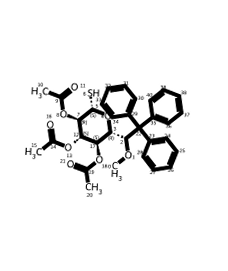 COC([C@H]1O[C@@H](S)[C@H](OC(C)=O)[C@@H](OC(C)=O)[C@@H]1OC(C)=O)C(c1ccccc1)(c1ccccc1)c1ccccc1